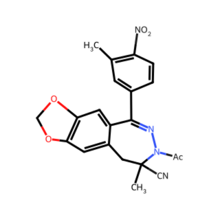 CC(=O)N1N=C(c2ccc([N+](=O)[O-])c(C)c2)c2cc3c(cc2CC1(C)C#N)OCO3